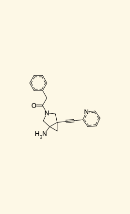 NC12CN(C(=O)Cc3ccccc3)CC1(C#Cc1ccccn1)C2